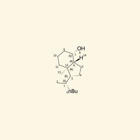 CCCC[C@H](C)[C@H]1CC[C@H]2[C@@H](O)CCC[C@]12C